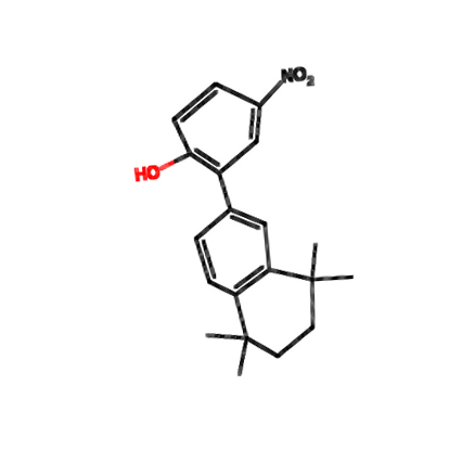 CC1(C)CCC(C)(C)c2cc(-c3cc([N+](=O)[O-])ccc3O)ccc21